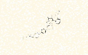 CS(=O)(=O)CNc1ccccc1-c1cc(Cl)c2cnc(Nc3ccc(C4CCN(CC(N)=O)CC4)cc3)nn12